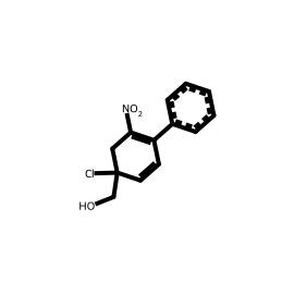 O=[N+]([O-])C1=C(c2ccccc2)C=CC(Cl)(CO)C1